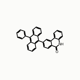 O=c1[nH]c2ccccc2c2cc(-c3c4ccccc4c(-c4ccccc4)c4ccccc34)ccc12